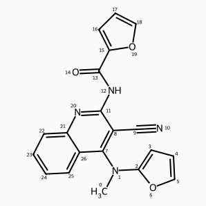 CN(c1ccco1)c1c(C#N)c(NC(=O)c2ccco2)nc2ccccc12